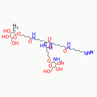 CC1C(OCCCCC(=O)NCCCC[C@@H](NC(=O)CCCCOC2OC(CO)C(O)C(O)C2N)C(=O)NCCCCCC(=O)NCCCCCCN=[N+]=[N-])OC(CO)C(O)C1O